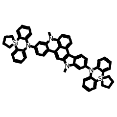 CN1c2cc(N3c4ccccc4[Si]4(CCCC4)c4ccccc43)ccc2-c2cc3c(c4cccc1c24)c1ccc(N2c4ccccc4[Si]4(CCCC4)c4ccccc42)cc1n3C